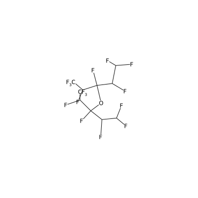 FC(F)C(F)C(F)(OC(F)(C(F)C(F)F)C(F)C(F)(F)F)C(F)C(F)(F)F